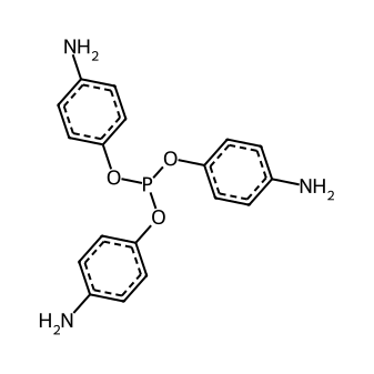 Nc1ccc(OP(Oc2ccc(N)cc2)Oc2ccc(N)cc2)cc1